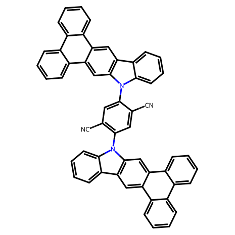 N#Cc1cc(-n2c3ccccc3c3cc4c5ccccc5c5ccccc5c4cc32)c(C#N)cc1-n1c2ccccc2c2cc3c4ccccc4c4ccccc4c3cc21